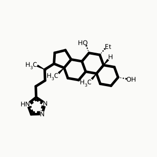 CC[C@H]1[C@@H](O)C2C3CCC([C@H](C)CCc4nnc[nH]4)[C@@]3(C)CCC2[C@@]2(C)CC[C@@H](O)C[C@@H]12